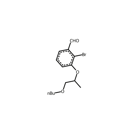 CCCCOCC(C)Oc1cccc(C=O)c1Br